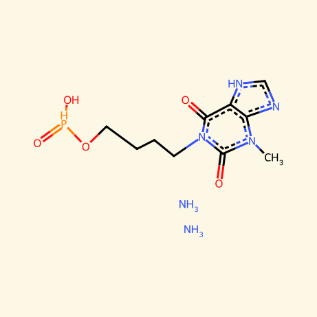 Cn1c(=O)n(CCCCO[PH](=O)O)c(=O)c2[nH]cnc21.N.N